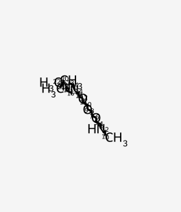 CCCNCCOCCOCCOCCN1CCN(C(C)(C)C)CC1